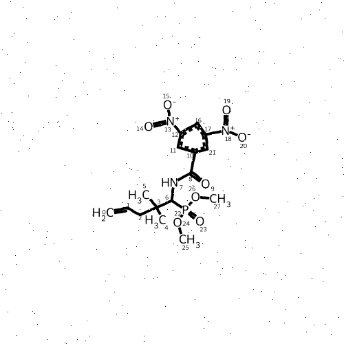 C=CCC(C)(C)C(NC(=O)c1cc([N+](=O)[O-])cc([N+](=O)[O-])c1)P(=O)(OC)OC